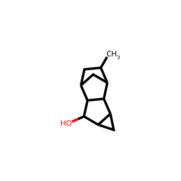 CC1CC2CC1C1C3CC3C(O)C21